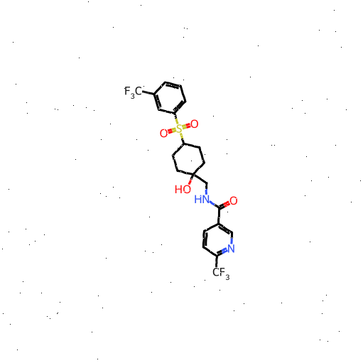 O=C(NCC1(O)CCC(S(=O)(=O)c2cccc(C(F)(F)F)c2)CC1)c1ccc(C(F)(F)F)nc1